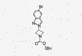 CC(C)(C)OC(=O)N1CC(n2cc3cc(Br)ccc3n2)C1